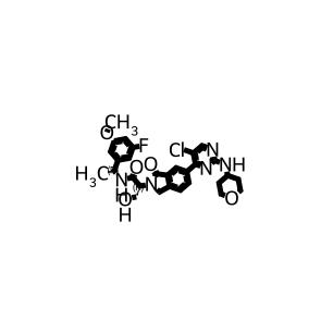 COc1cc(F)cc([C@@H](C)NC(=O)[C@@H](CO)N2Cc3ccc(-c4nc(NC5CCOCC5)ncc4Cl)cc3C2=O)c1